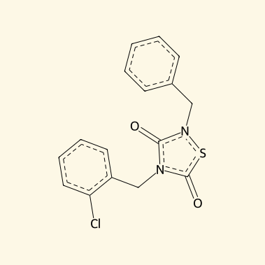 O=c1sn(Cc2ccccc2)c(=O)n1Cc1ccccc1Cl